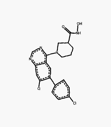 O=C(NO)C1CCCN(c2ncnc3cc(Cl)c(-c4ccc(Cl)cc4)cc23)C1